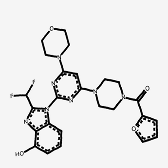 O=C(c1ccco1)N1CCN(c2cc(N3CCOCC3)nc(-n3c(C(F)F)nc4c(O)cccc43)n2)CC1